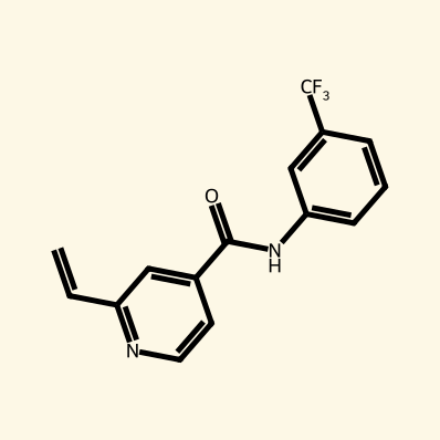 C=Cc1cc(C(=O)Nc2cccc(C(F)(F)F)c2)ccn1